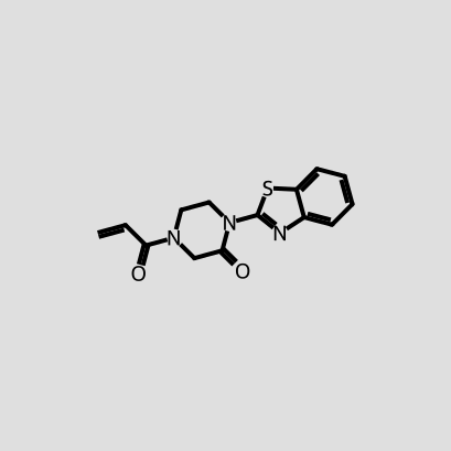 C=CC(=O)N1CCN(c2nc3ccccc3s2)C(=O)C1